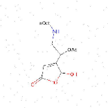 CCCCCCCCNCC(OC(C)=O)C1=CC(=O)OC1O